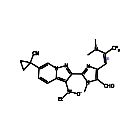 CC[S+]([O-])c1c(-c2nc(/C=C(\N(C)C)C(F)(F)F)c(C=O)n2C)nn2cc(C3(C#N)CC3)ccc12